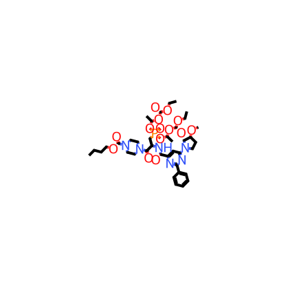 CCCCOC(=O)N1CCN(C(=O)C(CP(=O)(OC(C)OC(=O)OCC)OC(C)OC(=O)OCC)NC(=O)c2cc(N3CCC(OC)C3)nc(-c3ccccc3)n2)CC1